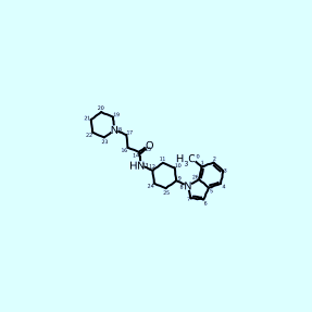 Cc1cccc2ccn(C3CCC(NC(=O)CCN4CCCCC4)CC3)c12